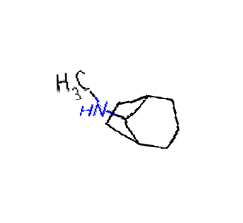 CNC1C2CCCC1CC2